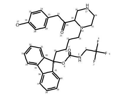 O=C(NCC(F)(F)F)OC1(CCCCN2CCNCC2C(=O)Cc2ccc(Cl)cc2)c2ccccc2-c2ccccc21